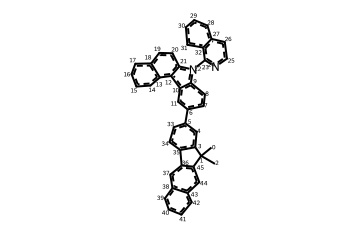 CC1(C)c2cc(-c3ccc4c(c3)c3c5ccccc5ccc3n4-c3nccc4ccccc34)ccc2-c2cc3ccccc3cc21